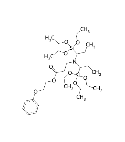 CCO[Si](OCC)(OCC)C(CC)N(CCC(=O)OCCOc1ccccc1)C(CC)[Si](OCC)(OCC)OCC